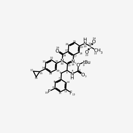 CC(C)(C)OC(=O)NC(Cc1cc(F)cc(F)c1)c1nc2cc(NS(C)(=O)=O)ccc2c(=O)n1-c1ccc(C2CC2)cc1